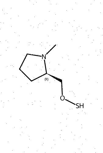 CN1CCC[C@@H]1COS